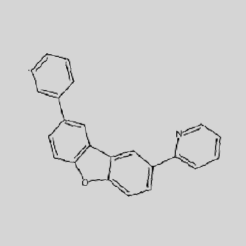 [c]1cccc(-c2ccc3oc4ccc(-c5ccccn5)cc4c3c2)c1